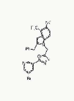 [C-]#[N+]c1ccc2c(cc(CC(C)C)n2Cc2nnc(-c3cncc(Br)c3)o2)c1C(F)(F)F